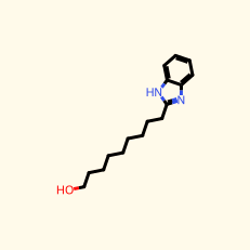 OCCCCCCCCCc1nc2ccccc2[nH]1